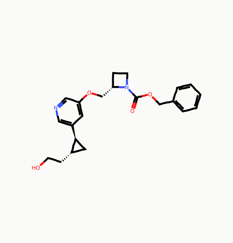 O=C(OCc1ccccc1)N1CC[C@H]1COc1cncc([C@H]2C[C@@H]2CCO)c1